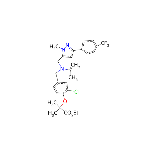 C=C(C)N(Cc1ccc(OC(C)(C)C(=O)OCC)c(Cl)c1)Cc1cc(-c2ccc(C(F)(F)F)cc2)nn1C